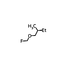 CC[C@H](C)COCF